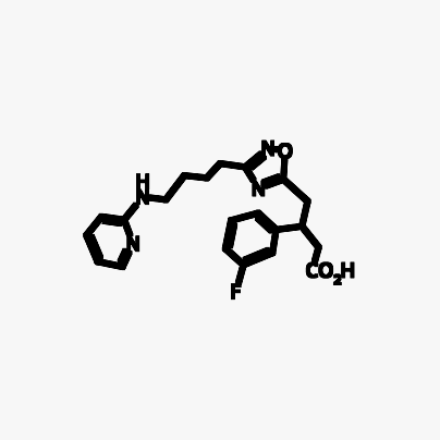 O=C(O)CC(Cc1nc(CCCCNc2ccccn2)no1)c1cccc(F)c1